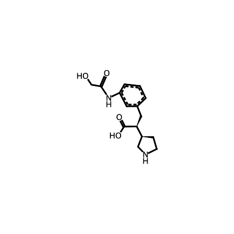 O=C(CO)Nc1cccc(C[C@H](C(=O)O)[C@H]2CCNC2)c1